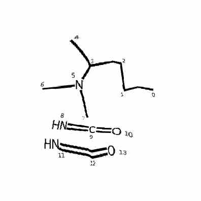 CCCC(C)N(C)C.N=C=O.N=C=O